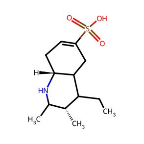 CCC1C2CC(S(=O)(=O)O)=CC[C@H]2NC(C)[C@H]1C